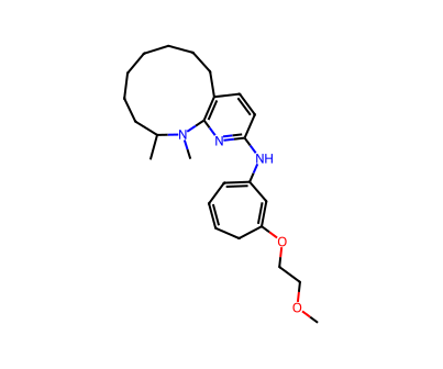 COCCOC1=CC(Nc2ccc3c(n2)N(C)C(C)CCCCCCC3)=CC=CC1